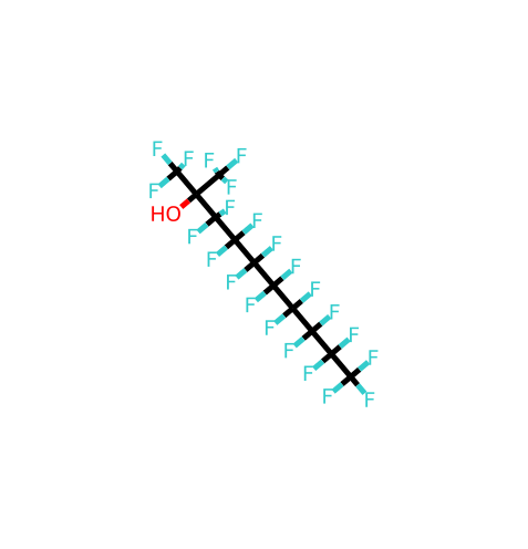 OC(C(F)(F)F)(C(F)(F)F)C(F)(F)C(F)(F)C(F)(F)C(F)(F)C(F)(F)C(F)(F)C(F)(F)C(F)(F)F